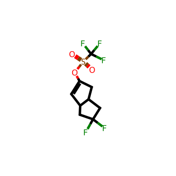 O=S(=O)(OC1=CC2CC(F)(F)CC2C1)C(F)(F)F